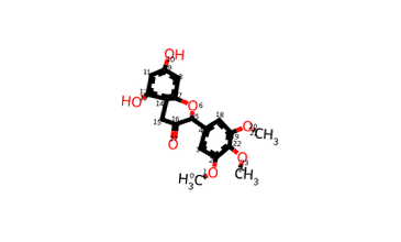 COc1cc(C2Oc3cc(O)cc(O)c3CC2=O)cc(OC)c1OC